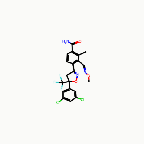 CON=Cc1c(C2=NOC(c3cc(Cl)cc(Cl)c3)(C(F)(F)F)C2)ccc(C(N)=O)c1C